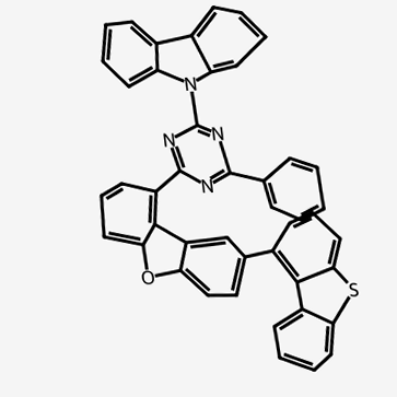 c1ccc(-c2nc(-c3cccc4oc5ccc(-c6cccc7sc8ccccc8c67)cc5c34)nc(-n3c4ccccc4c4ccccc43)n2)cc1